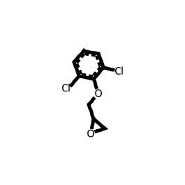 Clc1c[c]cc(Cl)c1OCC1CO1